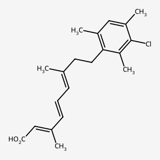 CC(C=CC=C(C)CCc1c(C)cc(C)c(Cl)c1C)=CC(=O)O